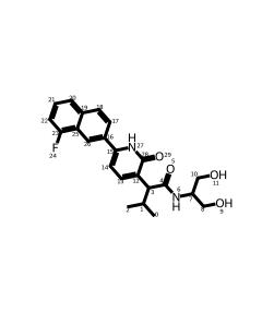 CC(C)C(C(=O)NC(CO)CO)c1ccc(-c2ccc3cccc(F)c3c2)[nH]c1=O